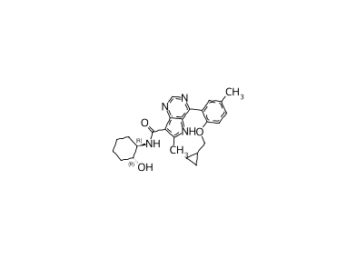 Cc1ccc(OCC2CC2)c(-c2ncnc3c(C(=O)N[C@@H]4CCCC[C@H]4O)c(C)[nH]c23)c1